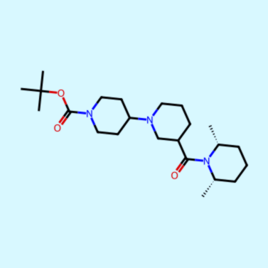 C[C@@H]1CCC[C@H](C)N1C(=O)C1CCCN(C2CCN(C(=O)OC(C)(C)C)CC2)C1